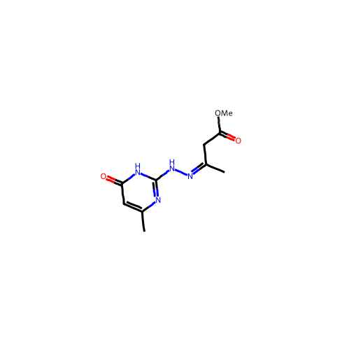 COC(=O)CC(C)=NNc1nc(C)cc(=O)[nH]1